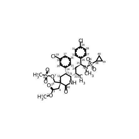 COC(=O)C[C@@]1(COS(C)(=O)=O)C[C@H](c2cccc(Cl)c2)[C@H](C(C)C[C@@H](c2ccc(Cl)cc2)N(C)S(=O)(=O)C2CC2)NC1=O